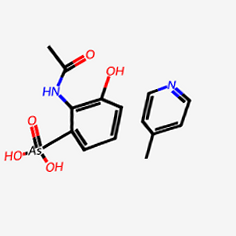 CC(=O)Nc1c(O)cccc1[As](=O)(O)O.Cc1ccncc1